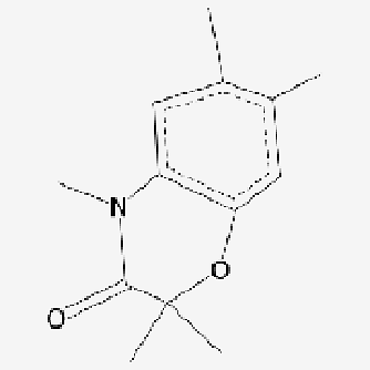 Cc1cc2c(cc1C)N(C)C(=O)C(C)(C)O2